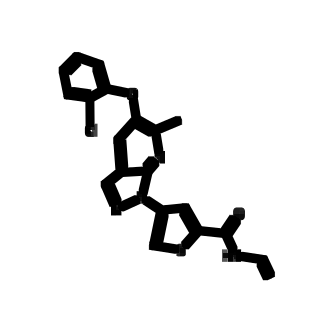 C=CNC(=O)c1cc(-n2ncc3cc(Oc4ccccc4Cl)c(C)nc32)cs1